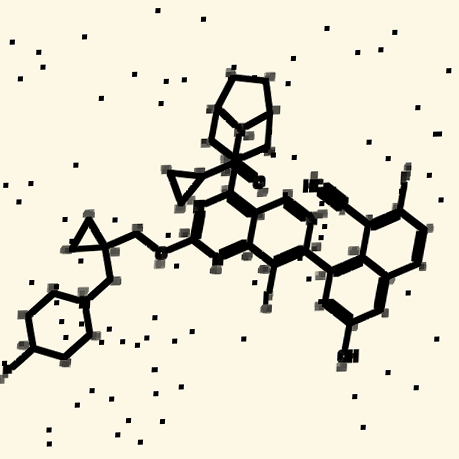 C#Cc1c(F)ccc2cc(O)cc(-c3ncc4c(N5CC6CCC(C5)N6C(=O)C5CC5)nc(OCC5(CN6CCC(F)CC6)CC5)nc4c3F)c12